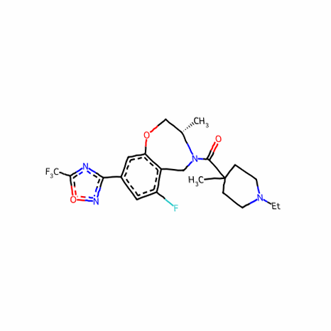 CCN1CCC(C)(C(=O)N2Cc3c(F)cc(-c4noc(C(F)(F)F)n4)cc3OC[C@@H]2C)CC1